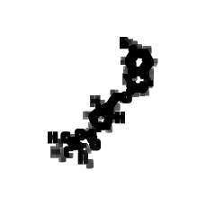 CC(C)(C)OC(=O)N1C[C@@H]2C(COc3cnc4ccc(Br)cc4n3)[C@@H]2C1